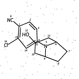 N#Cc1ccc(N2C3CCC2CC(O)C3)cc1Cl